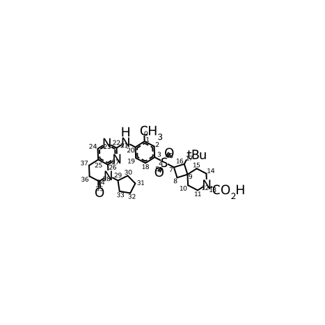 Cc1cc(S(=O)(=O)C2CC3(CCN(C(=O)O)CC3)C2C(C)(C)C)ccc1Nc1ncc2c(n1)N(C1CCCC1)C(=O)CC2